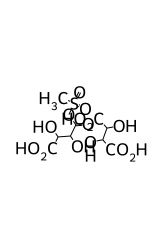 CS(=O)(=O)OC(=O)C(O)C(O)C(=O)O.O=C(O)C(O)C(O)C(=O)O